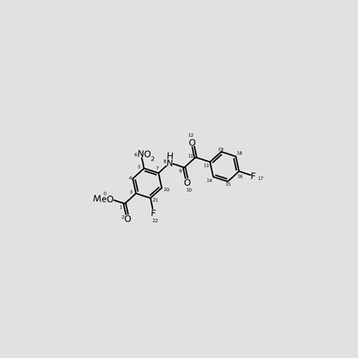 COC(=O)c1cc([N+](=O)[O-])c(NC(=O)C(=O)c2ccc(F)cc2)cc1F